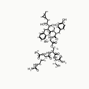 CCC(C)[C@H](NC(=O)[C@H](Cc1ccc(O)cc1)N(C)C(=O)C(Cc1ccccc1)N(C=O)[C@@H](O)CC1CC1C)C(=O)O[C@H](C)[C@H](NC(=O)[C@H](CCCNC(N)=O)NC(=O)C(C)C)C(=O)N[C@@H](CC(C)C)C(N)=O